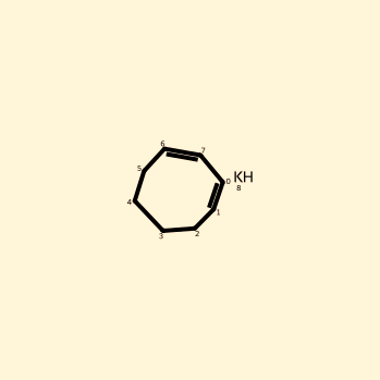 C1=CCCCCC=C1.[KH]